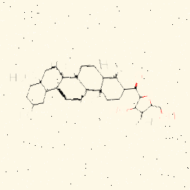 CC1CCC2(C(=O)O)CCC3C(=CCC4C3(C)CCC3C(C)C(C(=O)C5OC(CO)C(C)C5O)CCC34C)C2C1